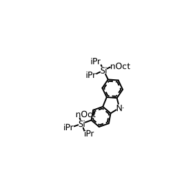 CCCCCCCC[Si](c1ccc2c(c1)-c1cc([Si](CCCCCCCC)(C(C)C)C(C)C)ccc1[N]2)(C(C)C)C(C)C